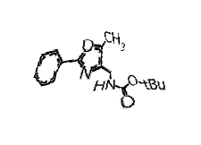 Cc1oc(-c2ccccc2)nc1CNC(=O)OC(C)(C)C